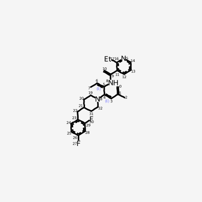 C=C(C)/C=C(\C(=C/C)NC(=C)c1cccnc1CC)N1CCC(Cc2ccc(F)cc2F)CC1